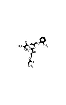 C=CC(=O)OCCNC(=O)OC(COC(=O)C(=C)C)COc1ccccc1C